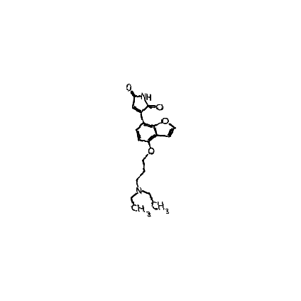 CCN(CC)CCCOc1ccc(C2=CC(=O)NC2=O)c2occc12